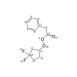 O=C(Cc1ccccc1)OOC1CCC(F)(F)C1